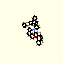 CC1(C)c2ccccc2-c2ccc(N(c3ccccc3)c3cc(N(c4ccccc4)c4ccc5c(c4)C(C)(C)C(C)(C)c4ccccc4-5)c4c(ccc5ccccc54)c3)cc2C1(C)C